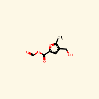 Cc1oc(C(=O)OC=O)cc1CO